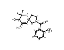 CC1(C)C[C@]2(C=C(C#N)C1=O)CCN(C(=O)c1cnccc1C(F)(F)F)C2